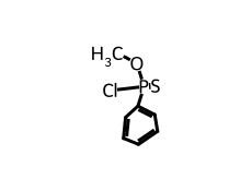 COP(=S)(Cl)c1ccccc1